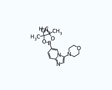 CC1(C)OB(c2ccc3ncc(N4CCOCC4)n3c2)OC1(C)C